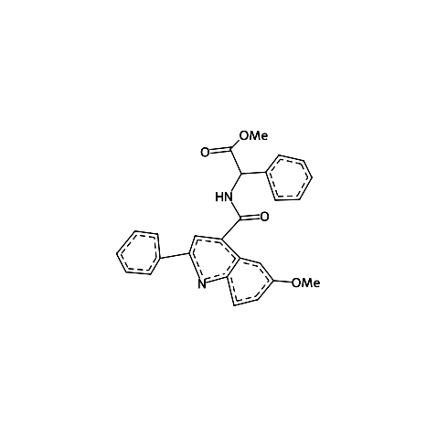 COC(=O)C(NC(=O)c1cc(-c2ccccc2)nc2ccc(OC)cc12)c1ccccc1